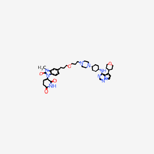 Cn1c(=O)n(C2CCC(=O)NC2=O)c2ccc(CCCOCCCN3CCN([C@H]4CC[C@H](Nc5ncnn6ccc(C7CCOCC7)c56)CC4)CC3)cc21